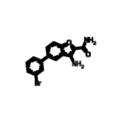 NC(=O)c1oc2ccc(-c3cccc(Br)c3)cc2c1N